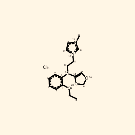 CCOc1ccccc1N(CC[n+]1ccn(C)c1)C1=COCO1.[Cl-]